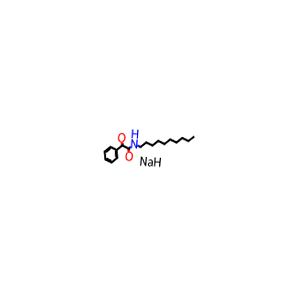 CCCCCCCCCCNC(=O)C(=O)c1ccccc1.[NaH]